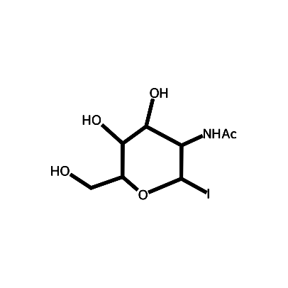 CC(=O)NC1C(I)OC(CO)C(O)C1O